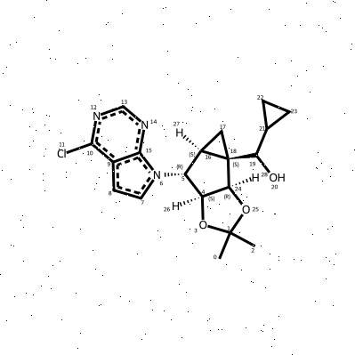 CC1(C)O[C@H]2[C@H](n3ccc4c(Cl)ncnc43)[C@H]3C[C@]3(C(O)C3CC3)[C@H]2O1